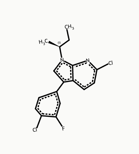 CC[C@H](C)n1cc(-c2ccc(Cl)c(F)c2)c2ccc(Cl)nc21